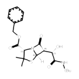 CC(C)(C)NC(=O)[C@@H](O)[C@@H]1C(=O)N2[C@@H]1SC(C)(C)[C@@H]2C(=O)OCc1ccccc1